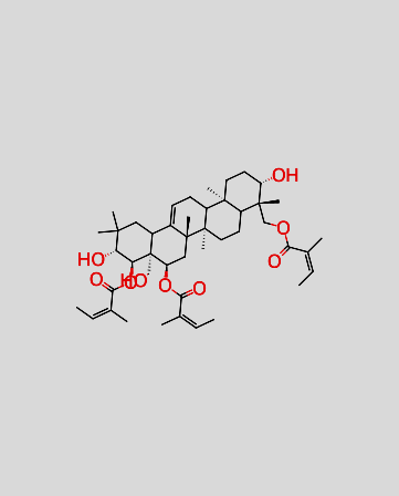 C/C=C(/C)C(=O)OC[C@]1(C)C2CC[C@]3(C)C(CC=C4C5CC(C)(C)[C@@H](O)[C@H](OC(=O)/C(C)=C\C)[C@]5(CO)[C@H](OC(=O)/C(C)=C\C)C[C@]43C)[C@@]2(C)CC[C@@H]1O